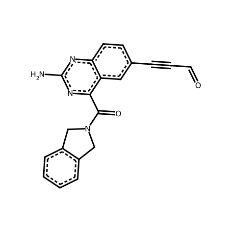 Nc1nc(C(=O)N2Cc3ccccc3C2)c2cc(C#CC=O)ccc2n1